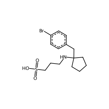 O=S(=O)(O)CCCNC1(Cc2ccc(Br)cc2)CCCC1